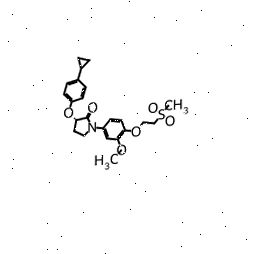 COc1cc(N2CC[C@H](Oc3ccc(C4CC4)cc3)C2=O)ccc1OCCS(C)(=O)=O